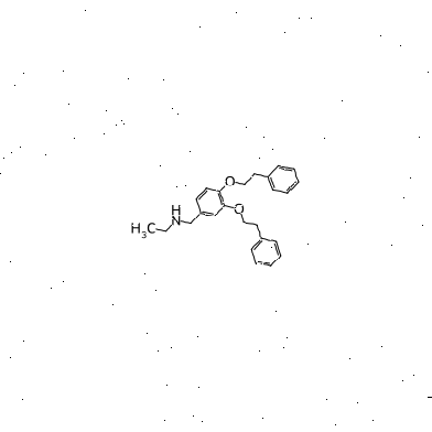 CCNCc1ccc(OCCc2ccccc2)c(OCCc2ccccc2)c1